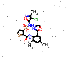 Cc1cc(C)c(NC(=O)c2sccc2S(=O)(=O)Nc2onc(C)c2Cl)c(-c2ncco2)c1